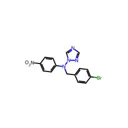 O=[N+]([O-])c1ccc(N(Cc2ccc(Br)cc2)n2cncn2)cc1